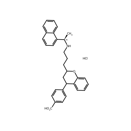 C[C@@H](NCCCC1CC(c2ccc(C(=O)O)cc2)c2ccccc2O1)c1cccc2ccccc12.Cl